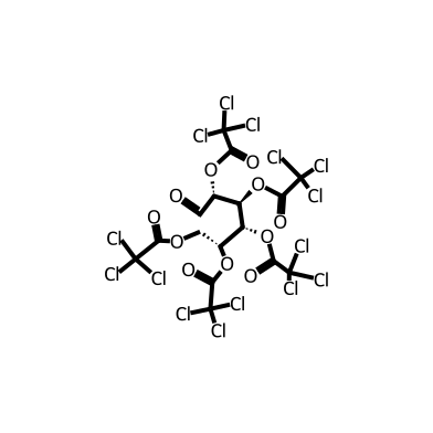 O=C[C@H](OC(=O)C(Cl)(Cl)Cl)[C@@H](OC(=O)C(Cl)(Cl)Cl)[C@H](OC(=O)C(Cl)(Cl)Cl)[C@@H](COC(=O)C(Cl)(Cl)Cl)OC(=O)C(Cl)(Cl)Cl